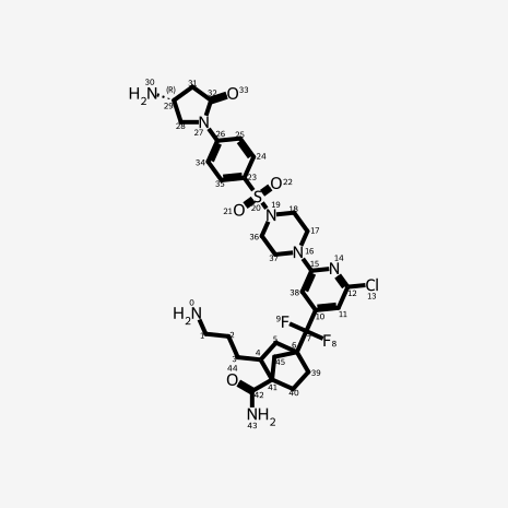 NCCCC1CC2(C(F)(F)c3cc(Cl)nc(N4CCN(S(=O)(=O)c5ccc(N6C[C@H](N)CC6=O)cc5)CC4)c3)CCC1(C(N)=O)C2